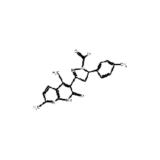 CCC(=O)N1N=C(c2c(C)c3ccc(C)nc3[nH]c2=O)CC1c1ccc(C)cc1